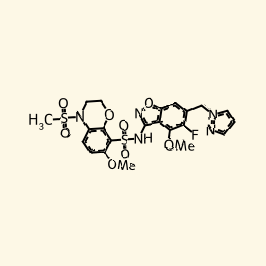 COc1ccc2c(c1S(=O)(=O)Nc1noc3cc(Cn4cccn4)c(F)c(OC)c13)OCCN2S(C)(=O)=O